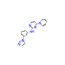 C1=CC=CN(c2ccnc(Nc3cccc(-n4ccnc4)c3)n2)C=1